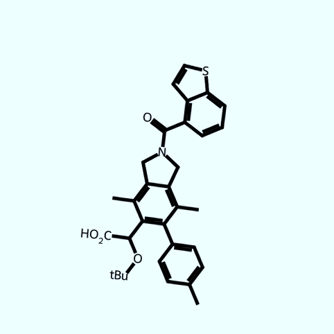 Cc1ccc(-c2c(C)c3c(c(C)c2C(OC(C)(C)C)C(=O)O)CN(C(=O)c2cccc4sccc24)C3)cc1